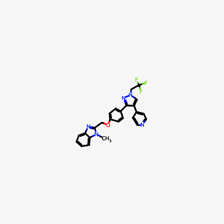 Cn1c(COc2ccc(-c3nn(CC(F)(F)F)cc3-c3ccncc3)cc2)nc2ccccc21